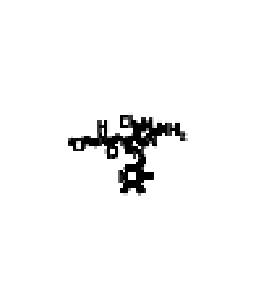 COCCNC(=O)C[C@H]1CN(Cc2cnc(C)c(C)c2C)c2nc(N)nc(Cl)c21